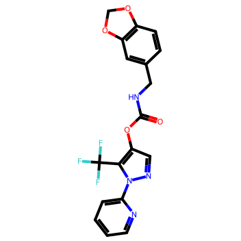 O=C(NCc1ccc2c(c1)OCO2)Oc1cnn(-c2ccccn2)c1C(F)(F)F